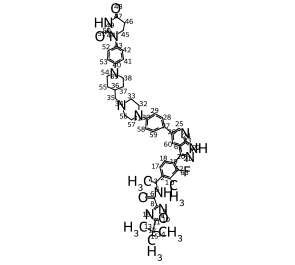 Cc1c(C(C)NC(=O)c2noc(C(C)(C)C)n2)ccc(-c2n[nH]c3ncc(-c4ccc(N5CCN(CC6CCN(c7ccc(N8CCC(=O)NC8=O)cc7)CC6)CC5)cc4)cc23)c1F